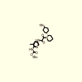 Cc1cc(NC(=O)C(=O)N2CCCC[C@H]2C2CCC(C(C)(C)C)CC2)cnc1NC(=O)OC(C)(C)C